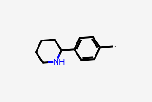 [CH2]c1ccc(C2CCCCN2)cc1